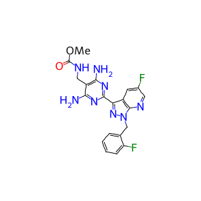 COC(=O)NCc1c(N)nc(-c2nn(Cc3ccccc3F)c3ncc(F)cc23)nc1N